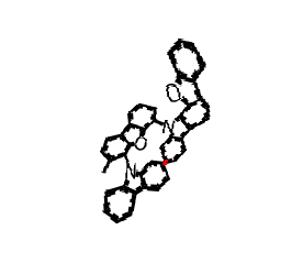 Cc1ccc2c(oc3c(-n4c5ccccc5c5ccc6c7ccccc7oc6c54)cccc32)c1-n1c2ccccc2c2ccccc21